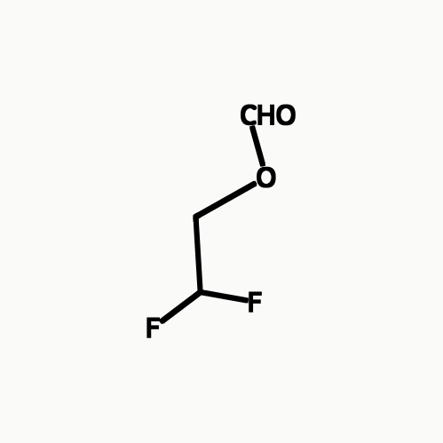 O=COCC(F)F